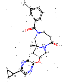 O=C(c1cccc(C(F)(F)F)c1)N1CCC(=O)N2CC(Oc3cnc(C4CC4)cn3)C[C@@H]2C1